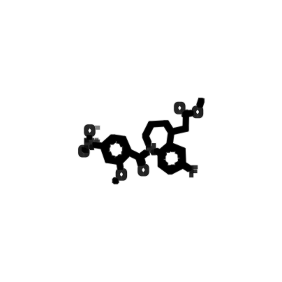 COC(=O)CC1CCCN(C(=O)c2ccc([N+](=O)[O-])cc2OC)c2ccc(F)cc21